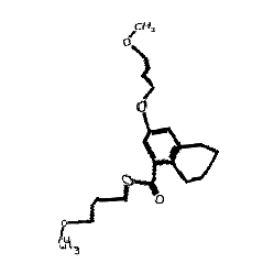 COCCCOC(=O)c1cc(OCCCOC)cc2c1CCCC2